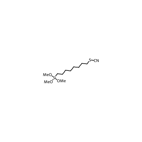 CO[Si](CCCCCCCCSC#N)(OC)OC